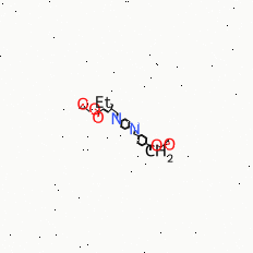 C=C(OCC1CO1)c1ccc(/C=N/c2ccc(/N=C/C(C=CC(=O)OCC3CO3)=C/CC)cc2)cc1